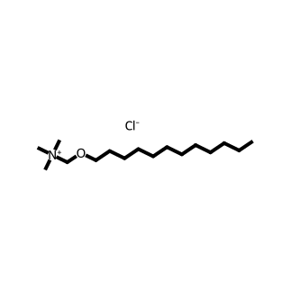 CCCCCCCCCCCCOC[N+](C)(C)C.[Cl-]